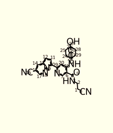 N#CCCNC(=O)c1cnc(-c2ccc3cc(C#N)cnn23)cc1NC12CCC(O)(CC1)CC2